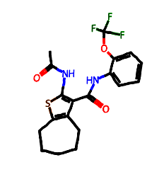 CC(=O)Nc1sc2c(c1C(=O)Nc1ccccc1OC(F)(F)F)CCCCC2